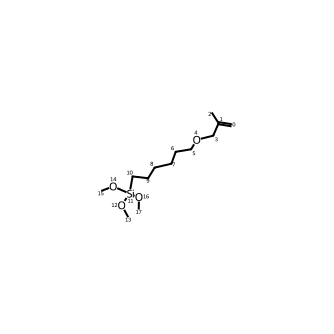 C=C(C)COCCCCCC[Si](OC)(OC)OC